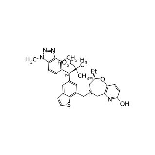 CC[C@@H]1CN(Cc2cc([C@@H](c3ccc4c(nnn4C)c3C)C(C)(C)C(=O)O)cc3ccsc23)Cc2nc(O)ccc2O1